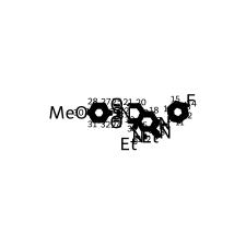 CCN(CC)CC12Cc3cnn(-c4ccc(F)cc4)c3C=C1CCN(S(=O)(=O)c1ccc(OC)cc1)C2